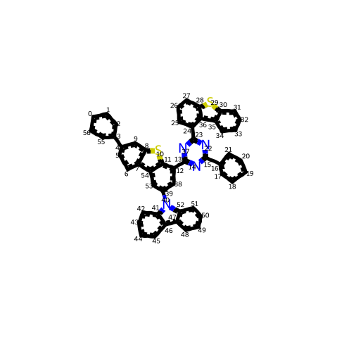 c1ccc(-c2ccc3c(c2)sc2c(-c4nc(-c5ccccc5)nc(-c5cccc6sc7ccccc7c56)n4)cc(-n4c5ccccc5c5ccccc54)cc23)cc1